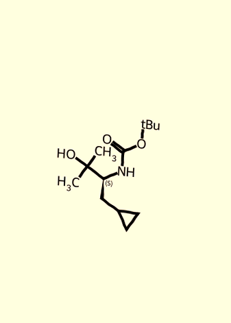 CC(C)(C)OC(=O)N[C@@H](CC1CC1)C(C)(C)O